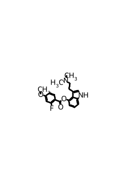 COc1ccc(C(=O)Oc2cccc3[nH]cc(CCN(C)C)c23)c(F)c1